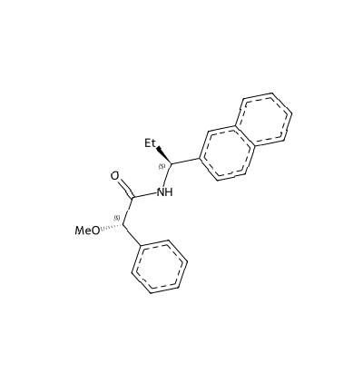 CC[C@H](NC(=O)[C@@H](OC)c1ccccc1)c1ccc2ccccc2c1